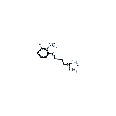 CN(C)CCCOc1cccc(F)c1[N+](=O)[O-]